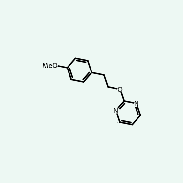 COc1ccc(CCOc2n[c]ccn2)cc1